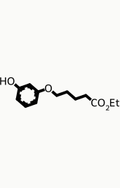 CCOC(=O)CCCCOc1cccc(O)c1